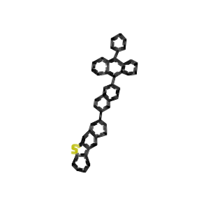 c1ccc(-c2c3ccccc3c(-c3ccc4cc(-c5ccc6cc7c(cc6c5)sc5ccccc57)ccc4c3)c3ccccc23)cc1